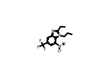 CCCn1c(CC)nc2cc(C(F)(F)F)cc([N+](=O)[O-])c21